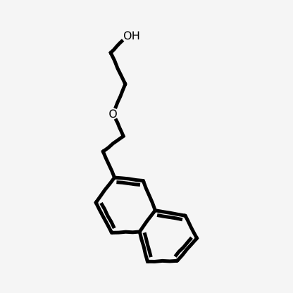 OCCOCCc1ccc2ccccc2c1